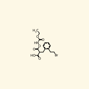 CCOC(=O)NOC(=O)C(Cc1ccccc1CCBr)C(=O)O